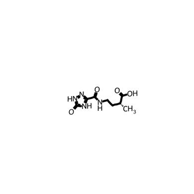 C[C@H](CCNC(=O)c1n[nH]c(=O)[nH]1)C(=O)O